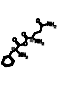 NC(=O)CC[C@H](N)C(=O)OC(=O)[C@@H](N)Cc1ccccc1